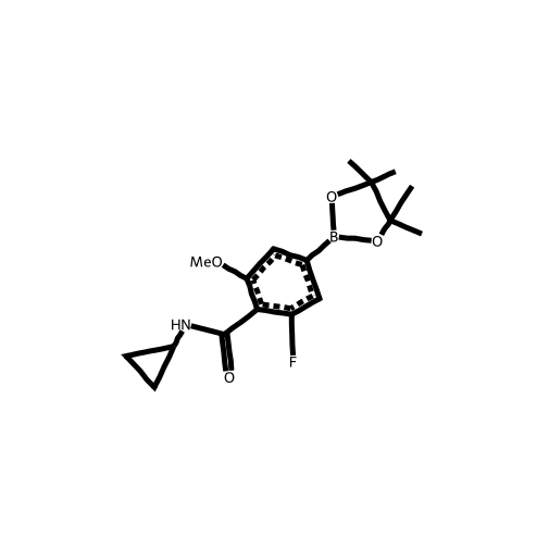 COc1cc(B2OC(C)(C)C(C)(C)O2)cc(F)c1C(=O)NC1CC1